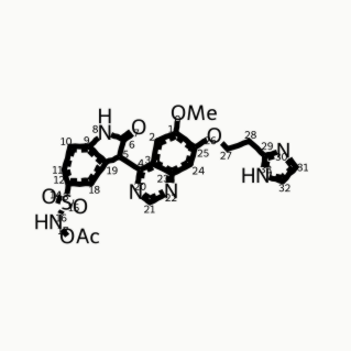 COc1cc2c(C3C(=O)Nc4ccc(S(=O)(=O)NOC(C)=O)cc43)ncnc2cc1OCCc1ncc[nH]1